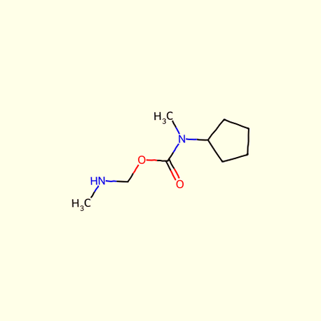 CNCOC(=O)N(C)C1CCCC1